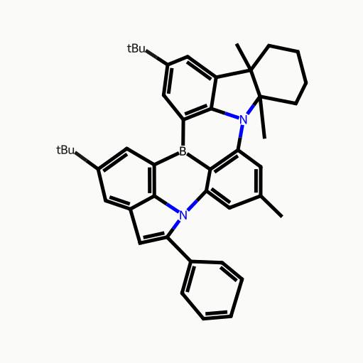 Cc1cc2c3c(c1)-n1c(-c4ccccc4)cc4cc(C(C)(C)C)cc(c41)B3c1cc(C(C)(C)C)cc3c1N2C1(C)CCCCC31C